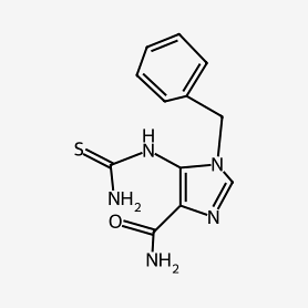 NC(=O)c1ncn(Cc2ccccc2)c1NC(N)=S